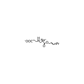 CCCC=CCOC(=O)CCNCCC(=O)[O-].[Na+]